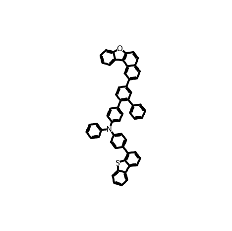 c1ccc(-c2cc(-c3ccc4ccc5oc6ccccc6c5c4c3)ccc2-c2ccc(N(c3ccccc3)c3ccc(-c4cccc5c4sc4ccccc45)cc3)cc2)cc1